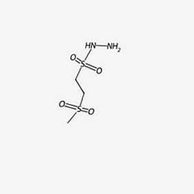 CS(=O)(=O)CCS(=O)(=O)NN